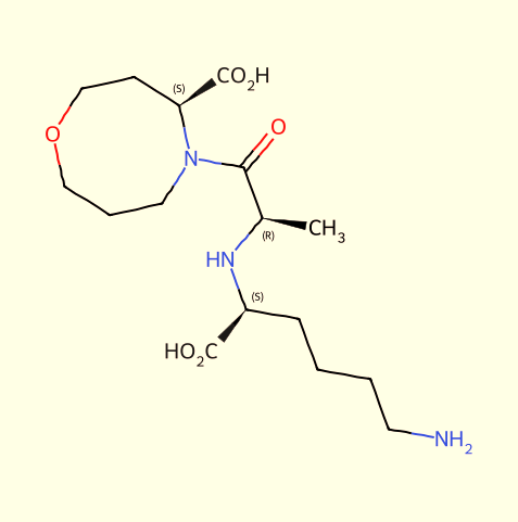 C[C@@H](N[C@@H](CCCCN)C(=O)O)C(=O)N1CCCOCC[C@H]1C(=O)O